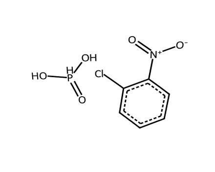 O=[N+]([O-])c1ccccc1Cl.O=[PH](O)O